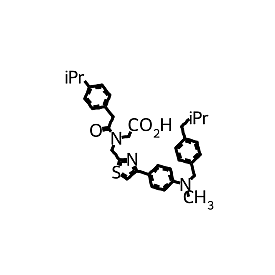 CC(C)Cc1ccc(CN(C)c2ccc(-c3csc(CN(CC(=O)O)C(=O)Cc4ccc(C(C)C)cc4)n3)cc2)cc1